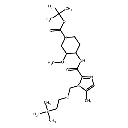 COC1CN(C(=O)OC(C)(C)C)CCC1NC(=O)c1ncc(C)n1COCC[Si](C)(C)C